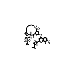 COc1ccc2c(O[C@@H]3CC4C(=O)N[C@]5(C(=O)NS(=O)(=O)C6CC6)C[C@@H]5/C=C\CCCCN(C)C(=O)C4C3)cc(-c3nc(C(C)C)cs3)nc2c1C